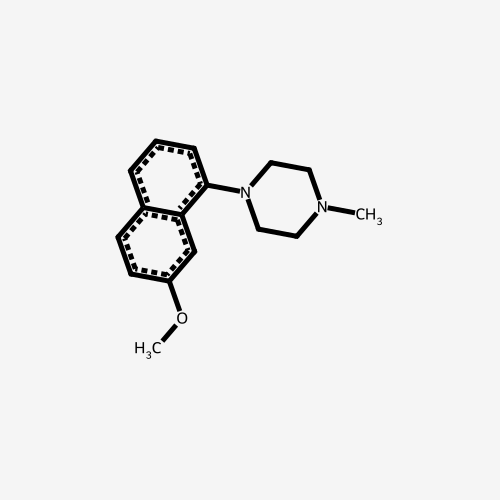 COc1ccc2cccc(N3CCN(C)CC3)c2c1